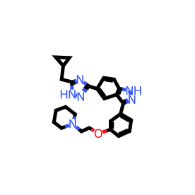 c1cc(OCCN2CCCCC2)cc(-c2n[nH]c3ccc(-c4n[nH]c(CC5CC5)n4)cc23)c1